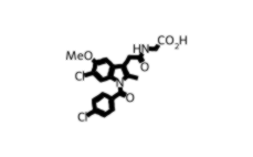 COc1cc2c(CC(=O)NCC(=O)O)c(C)n(C(=O)c3ccc(Cl)cc3)c2cc1Cl